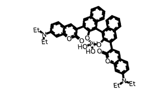 CCN(CC)c1ccc2cc(-c3cc4ccccc4c4c3O[PH](O)(O)Oc3c(-c5cc6ccc(N(CC)CC)cc6oc5=O)cc5ccccc5c3-4)c(=O)oc2c1